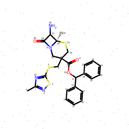 Cc1nsc(SCC2(C(=O)OC(c3ccccc3)c3ccccc3)CS[C@@H]3C(N)C(=O)N3C2)n1